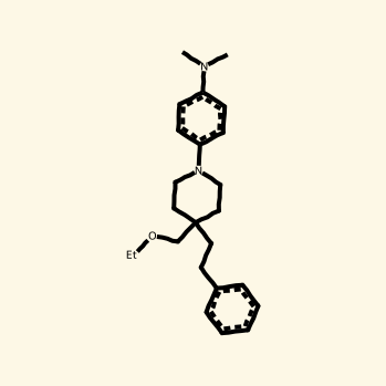 CCOCC1(CCc2ccccc2)CCN(c2ccc(N(C)C)cc2)CC1